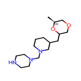 C[C@H]1COCC(CC2CCCN(CN3CCNCC3)C2)O1